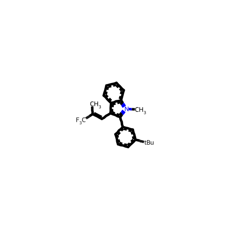 C/C(=C\c1c(-c2cccc(C(C)(C)C)c2)n(C)c2ccccc12)C(F)(F)F